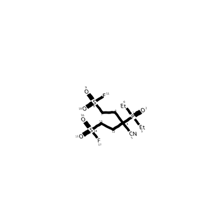 CCP(=O)(CC)C(C#N)(CCS(=O)(=O)F)CCS(=O)(=O)F